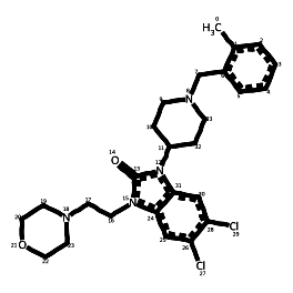 Cc1ccccc1CN1CCC(n2c(=O)n(CCN3CCOCC3)c3cc(Cl)c(Cl)cc32)CC1